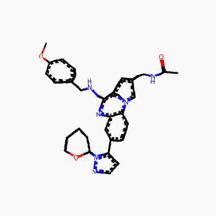 COc1ccc(CNc2nc3cc(-c4ccnn4C4CCCCO4)ccc3n3cc(CNC(C)=O)cc23)cc1